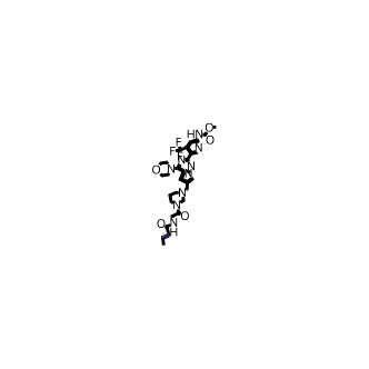 C/C=C/C(=O)NCC(=O)N1CCCN(Cc2cc3c(N4CCOCC4)nc(-c4cnc(NC(=O)OC)cc4C(F)(F)F)nn3c2)C1